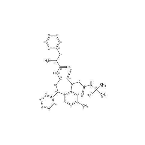 Cc1ccc2c(c1)N(CC(=O)NC(C)(C)C)C(=O)C(NC(=O)C(N)Cc1ccccc1)CC2c1ccccc1